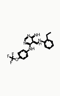 CCc1ccccc1N/C=C1\C(=N)N=CN=C1Nc1ccc(OC(F)(F)F)cc1